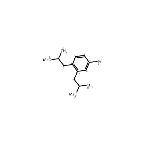 COC(C)Cc1ccc(C(C)C)cc1CC(C)OC